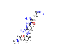 C=C(CN1CCCC1)Oc1ccccc1/N=N/c1ccc(NC(=O)[C@@H](N)CCCCN)nc1N